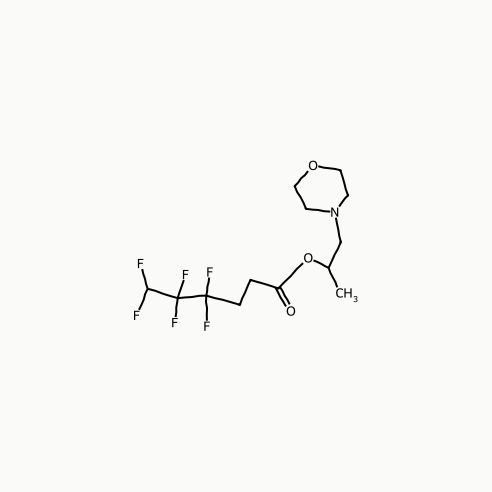 CC(CN1CCOCC1)OC(=O)CCC(F)(F)C(F)(F)C(F)F